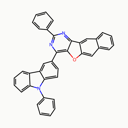 c1ccc(-c2nc(-c3ccc4c(c3)c3ccccc3n4-c3ccccc3)c3oc4cc5ccccc5cc4c3n2)cc1